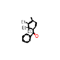 CCC1=C(C)C=CC(C(=O)c2ccccc2)C1(CC)CC